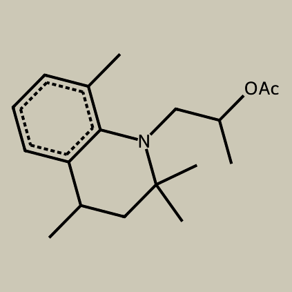 CC(=O)OC(C)CN1c2c(C)cccc2C(C)CC1(C)C